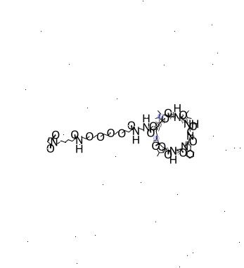 C/C=C(\C)[C@H]1OC(=O)[C@@H](C)NC(=O)[C@H](C(C)CC)NC(=O)CN(C)C(=O)[C@@H](Cc2ccccc2)N(C)C(=O)[C@H](C)NC(=O)[C@@H](CC(C)C)OC(=O)/C(C)=C/C[C@H](OC(=O)NCCNC(=O)CCOCCOCCOCCOCCNC(=O)CCCCCN2C(=O)C=CC2=O)[C@@H]1C